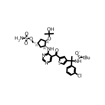 CC(C)(O)O[C@@H]1C[C@@H](COS(N)(=O)=O)C[C@H]1Nc1ncncc1C(=O)c1cc(C(C)(N[S+]([O-])C(C)(C)C)c2cccc(Cl)c2)cs1